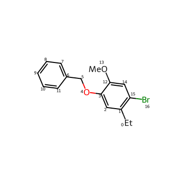 CCc1cc(OCc2ccccc2)c(OC)cc1Br